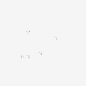 CS/C(=N\N)N(C)C